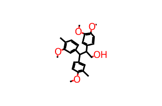 COc1ccc(C(c2ccc(C)c(OC)c2)C(CO)c2ccc(OC)c(OC)c2)cc1C